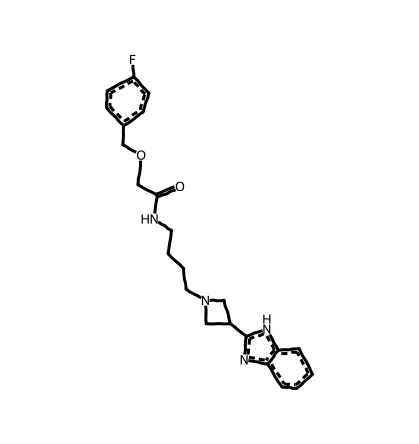 O=C(COCc1ccc(F)cc1)NCCCCN1CC(c2nc3ccccc3[nH]2)C1